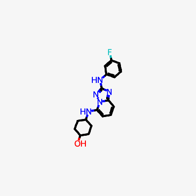 OC1CCC(Nc2cccc3nc(Nc4cccc(F)c4)nn23)CC1